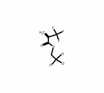 C=C(C(=O)OCC(Cl)(Cl)Cl)C(F)(F)F